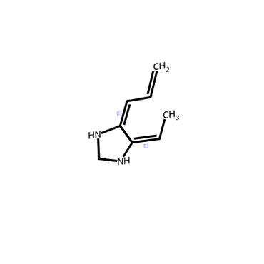 C=C/C=C1/NCN/C1=C/C